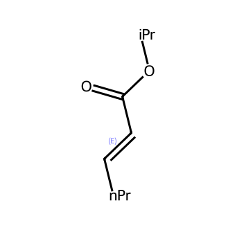 CCC/C=C/C(=O)OC(C)C